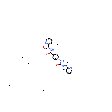 O=C(NC(CO)c1ccccn1)c1ccc(NC(=O)N2Cc3cccnc3C2)cc1